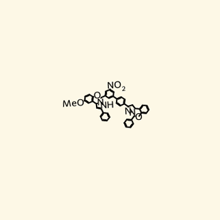 COc1ccc2c(c1)C1C=C(c3ccccc3)NN1C(c1cc(-c3ccc(C4=NN5C(C4)c4ccccc4OC5c4ccccc4)cc3)cc([N+](=O)[O-])c1)O2